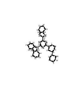 c1ccc(-c2cccc(-c3nc(-c4nc5ccccc5s4)nc(-n4c5ccccc5c5ccccc54)n3)c2)cc1